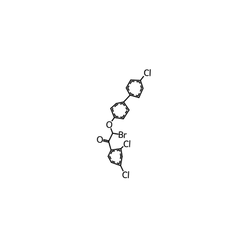 O=C(c1ccc(Cl)cc1Cl)C(Br)Oc1ccc(-c2ccc(Cl)cc2)cc1